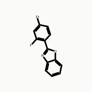 CCc1ccc(-c2nc3ccccc3o2)c(F)c1